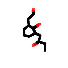 CCC(=O)CC1CCCC(CC=O)C1=O